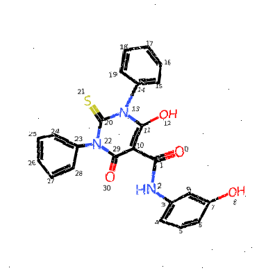 O=C(Nc1cccc(O)c1)c1c(O)n(-c2ccccc2)c(=S)n(-c2ccccc2)c1=O